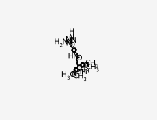 CC(C)[Si]1(C(C)C)c2cc(N(C)C)ccc2C(=CCCC(=O)NCc2ccc(COc3nc(N)nc4[nH]cnc34)cc2)c2ccc(N(C)C)cc21